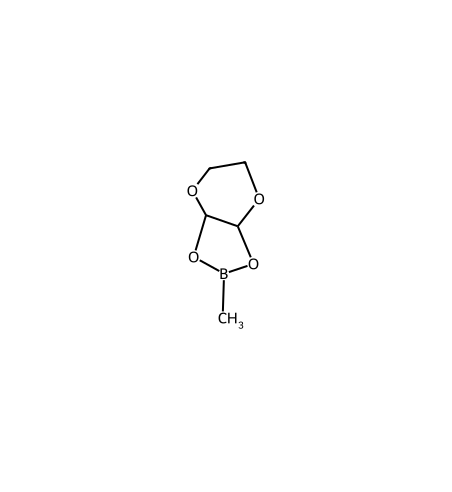 CB1OC2OCCOC2O1